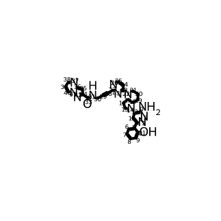 Nc1nnc(-c2ccccc2O)cc1N1CCC2C1CCCN2c1ccnc(C#CCNC(=O)c2cc3ncccn3n2)n1